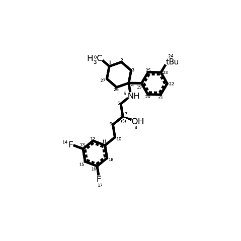 CC1CCC(NC[C@@H](O)CCc2cc(F)cc(F)c2)(c2cccc(C(C)(C)C)c2)CC1